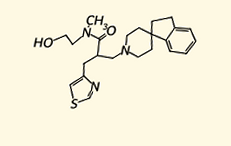 CN(CCO)C(=O)C(Cc1cscn1)CN1CCC2(CCc3ccccc32)CC1